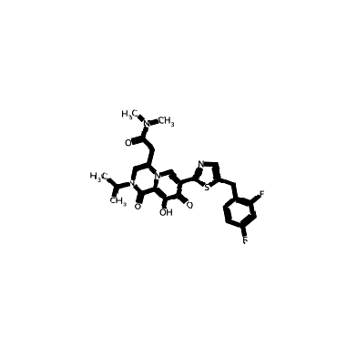 CC(C)N1CC(CC(=O)N(C)C)n2cc(-c3ncc(Cc4ccc(F)cc4F)s3)c(=O)c(O)c2C1=O